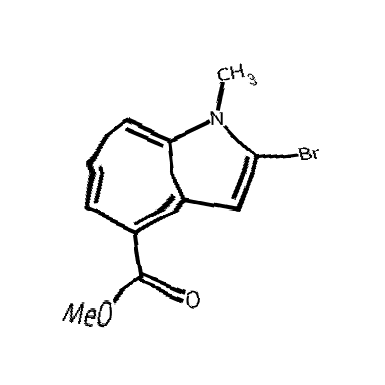 COC(=O)c1cccc2c1cc(Br)n2C